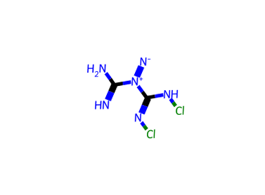 [N-]=[N+](C(=N)N)C(=NCl)NCl